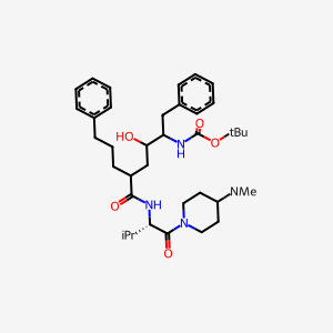 CNC1CCN(C(=O)[C@@H](NC(=O)C(CCCc2ccccc2)CC(O)C(Cc2ccccc2)NC(=O)OC(C)(C)C)C(C)C)CC1